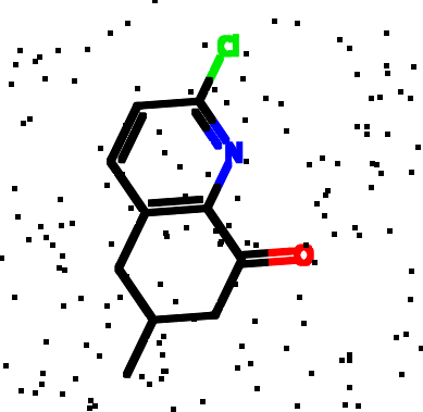 CC1CC(=O)c2nc(Cl)ccc2C1